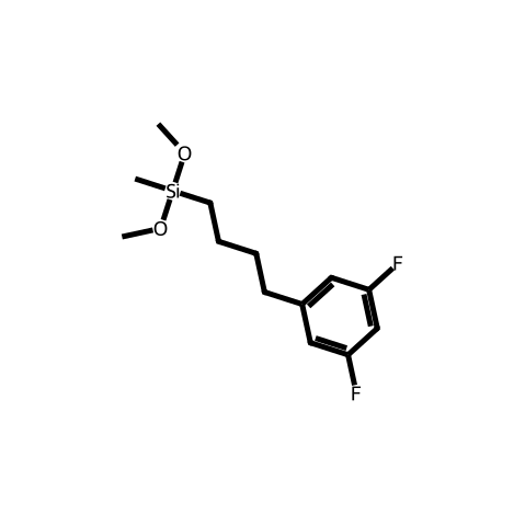 CO[Si](C)(CCCCc1cc(F)cc(F)c1)OC